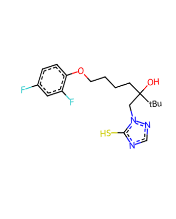 CC(C)(C)C(O)(CCCCOc1ccc(F)cc1F)Cn1ncnc1S